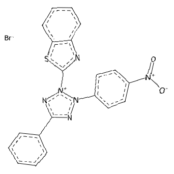 O=[N+]([O-])c1ccc(-n2nc(-c3ccccc3)n[n+]2-c2nc3ccccc3s2)cc1.[Br-]